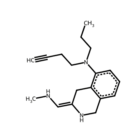 C#CCCN(CCC)c1cccc2c1C/C(=C\NC)NC2